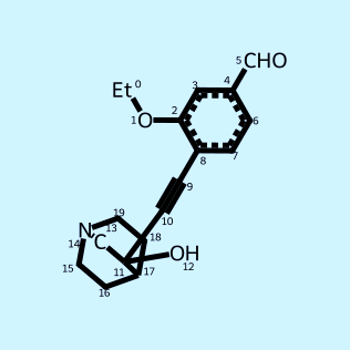 CCOc1cc(C=O)ccc1C#CC1(O)CN2CCC1CC2